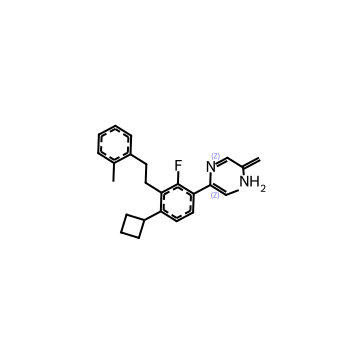 C=C(N)/C=N\C(=C/C)c1ccc(C2CCC2)c(CCc2ccccc2C)c1F